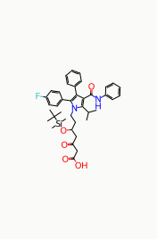 CC(C)c1c(C(=O)Nc2ccccc2)c(-c2ccccc2)c(-c2ccc(F)cc2)n1CCC(CC(=O)CC(=O)O)O[Si](C)(C)C(C)(C)C